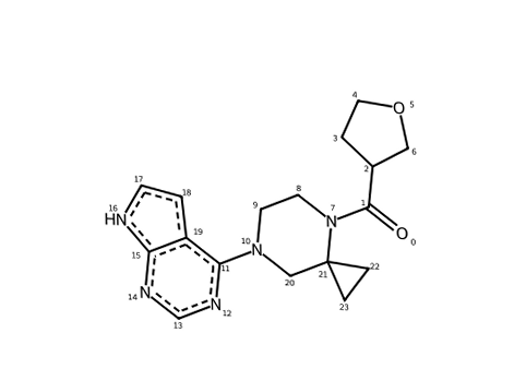 O=C(C1CCOC1)N1CCN(c2ncnc3[nH]ccc23)CC12CC2